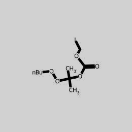 CCCCOOC(C)(C)OC(=O)OCI